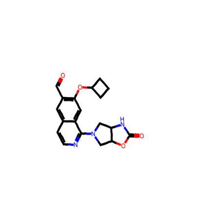 O=Cc1cc2ccnc(N3CC4NC(=O)OC4C3)c2cc1OC1CCC1